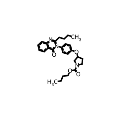 CCCCOC(=O)N1CCC(Oc2ccc(-n3c(CCCC)nc4ccccc4c3=O)cc2)C1